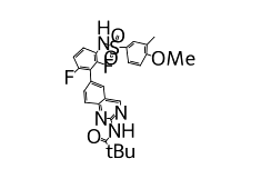 COc1ccc(S(=O)(=O)Nc2ccc(F)c(-c3ccc4nc(NC(=O)C(C)(C)C)ncc4c3)c2F)cc1C